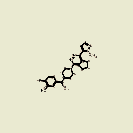 Cn1nccc1-c1nnc(N2CCC(C(N)c3ccc(F)c(C#N)c3)CC2)c2c1CCC2